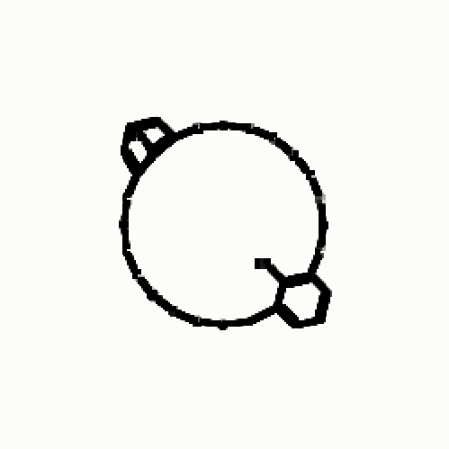 Sc1c2cccc1COCCOCCOCc1cccc(c1S)COCCOCCOC2